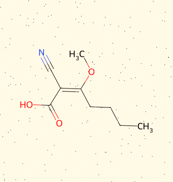 CCCCC(OC)=C(C#N)C(=O)O